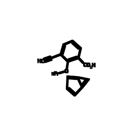 C#Cc1cccc(C(=O)O)c1OCCC.c1cc2cc-2c1